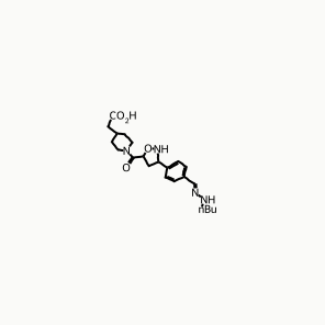 CCCCNN=Cc1ccc(C2CC(C(=O)N3CCC(CC(=O)O)CC3)ON2)cc1